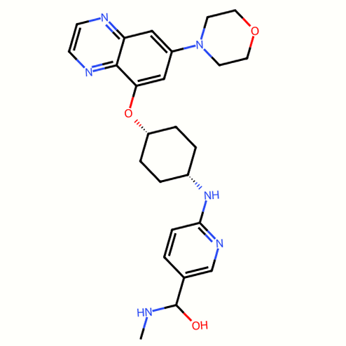 CNC(O)c1ccc(N[C@H]2CC[C@@H](Oc3cc(N4CCOCC4)cc4nccnc34)CC2)nc1